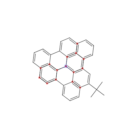 CC(C)(C)c1ccc(N(c2ccccc2-c2ccccc2)c2ccccc2-c2cccc3c2C(c2ccccc2)CC=C3)c(-c2ccccc2)c1